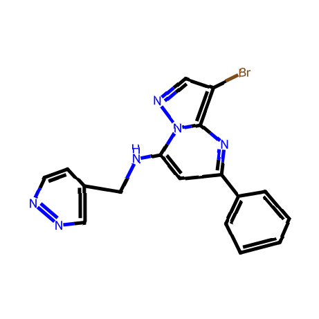 Brc1cnn2c(NCc3ccnnc3)cc(-c3ccccc3)nc12